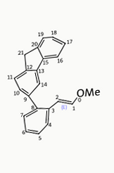 CO/C=C/c1ccccc1-c1ccc2c(c1)-c1ccccc1C2